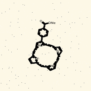 COC(=O)c1ccc(-c2cc3cc4nc(cc5ccc(cc6nc(cc2[nH]3)C=C6)[nH]5)C=C4)cc1